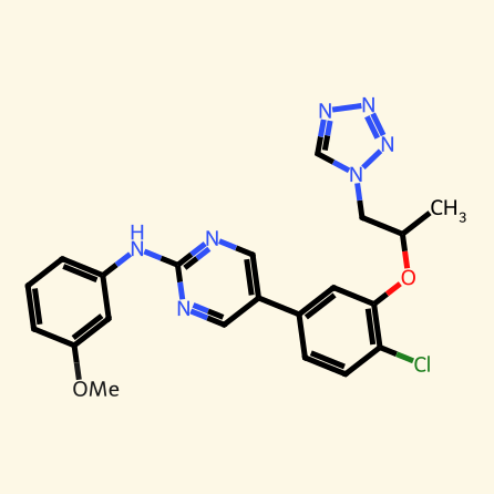 COc1cccc(Nc2ncc(-c3ccc(Cl)c(OC(C)Cn4cnnn4)c3)cn2)c1